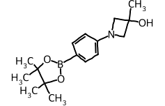 CC1(O)CN(c2ccc(B3OC(C)(C)C(C)(C)O3)cc2)C1